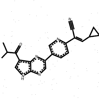 CC(C)C(=O)c1c[nH]c2ncc(-c3ccc(C(C#N)=CC4CC4)nc3)nc12